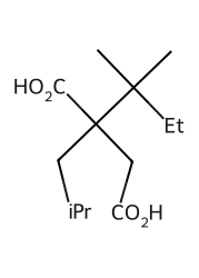 CCC(C)(C)C(CC(=O)O)(CC(C)C)C(=O)O